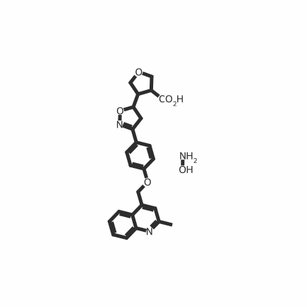 Cc1cc(COc2ccc(C3=NOC(C4COCC4C(=O)O)C3)cc2)c2ccccc2n1.NO